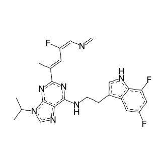 C=N/C=C(F)\C=C(/C)c1nc(NCCc2c[nH]c3c(F)cc(F)cc23)c2ncn(C(C)C)c2n1